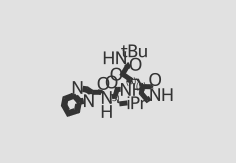 CC(C)C[C@H](NC(=O)c1cnc2ccccc2n1)C(=O)N[C@@H](C[C@@H]1CCNC1=O)C(=O)C(=O)NC(C)(C)C